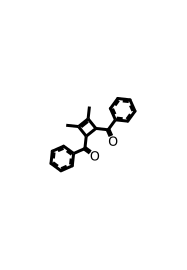 CC1=C(C)C(C(=O)c2ccccc2)C1C(=O)c1ccccc1